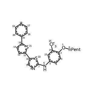 CCCCCOc1ccc(Nc2ncc(-c3ccc(-c4ccccc4)s3)s2)cc1C(F)(F)F